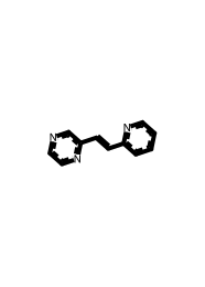 C(=C\c1cnccn1)/c1ccccn1